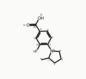 CC1CCCN1c1ccc(C(=O)O)cc1F